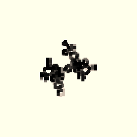 O=C(NC1CC1)c1ccc(CN(C2CC(F)(F)CCNC2=O)S(=O)(=O)c2ccc(Cl)cc2)cc1.O=C1NCCC(F)(F)CC1NS(=O)(=O)c1ccc(Cl)cc1